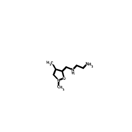 CC1CN(C)OC1CNCCN